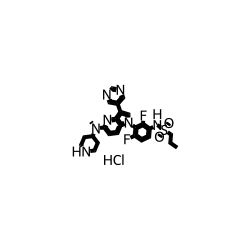 CCCS(=O)(=O)Nc1ccc(F)c(-n2cc(-c3cncnc3)c3nc(N(C)C4CCNCC4)ccc32)c1F.Cl